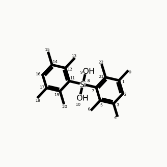 Cc1cc(C)c(C)c([Si](O)(O)c2c(C)c(C)cc(C)c2C)c1C